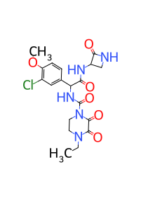 CCN1CCN(C(=O)NC(C(=O)NC2CNC2=O)c2ccc(OC)c(Cl)c2)C(=O)C1=O